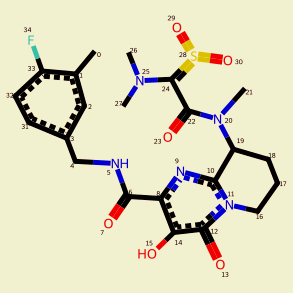 Cc1cc(CNC(=O)c2nc3n(c(=O)c2O)CCCC3N(C)C(=O)C(N(C)C)=S(=O)=O)ccc1F